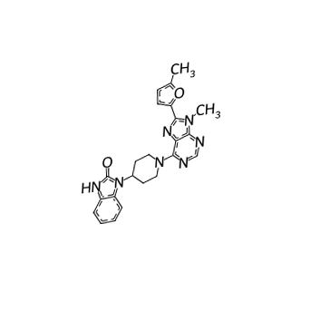 Cc1ccc(-c2nc3c(N4CCC(n5c(=O)[nH]c6ccccc65)CC4)ncnc3n2C)o1